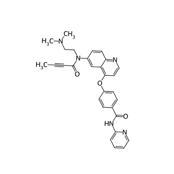 CC#CC(=O)N(CCN(C)C)c1ccc2nccc(Oc3ccc(C(=O)Nc4ccccn4)cc3)c2c1